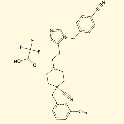 Cc1cccc(CC2(C#N)CCN(CCc3cncn3Cc3ccc(C#N)cc3)CC2)c1.O=C(O)C(F)(F)F